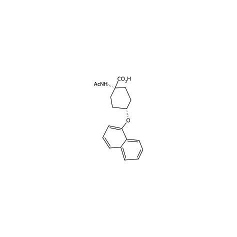 CC(=O)N[C@]1(C(=O)O)CC[C@H](Oc2cccc3ccccc23)CC1